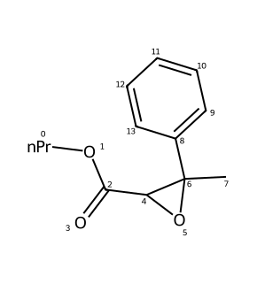 CCCOC(=O)C1OC1(C)c1ccccc1